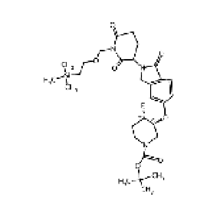 CC(C)(C)OC(=O)N1CC[C@H](F)[C@@H](Oc2ccc3c(c2)CN(C2CCC(=O)N(COCC[Si](C)(C)C)C2=O)C3=O)C1